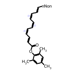 CCCCCCCCCC=C\C=C/C=C\C=C/C=CC(=O)Oc1c(C)cc(C)cc1C